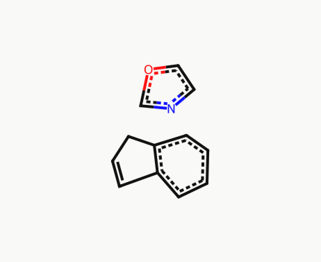 C1=Cc2ccccc2C1.c1cocn1